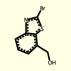 OCc1cccc2nc(Br)sc12